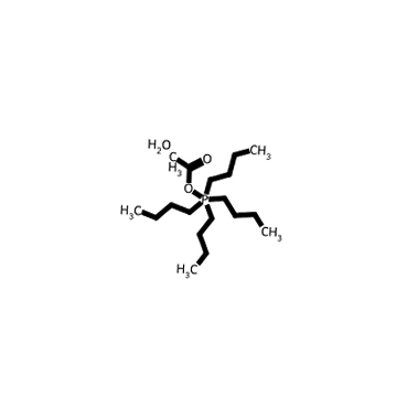 CCCCP(CCCC)(CCCC)(CCCC)OC(C)=O.O